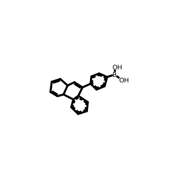 OB(O)c1ccc(C2=CC3C=CC=CC3c3ccccc32)cc1